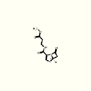 COC(=O)CCNC(=O)C1=CS[C@@H]2CC(=O)N12